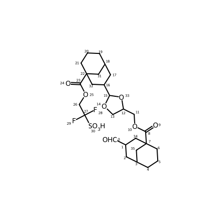 O=CC1CC2CCCC(C(=O)OCC3COC(C4CC5CCCC(C(=O)OCC(F)(F)S(=O)(=O)O)(C5)C4)O3)(C1)C2